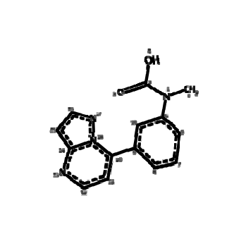 CN(C(=O)O)c1cccc(-c2ccnc3ccnn23)c1